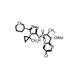 CO[C@H](c1ncc(Cl)cn1)[C@H](C)S(=O)(=O)Nc1nnc([C@H]2CCCOC2)n1C1(C)CC1